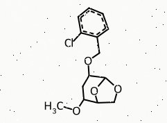 COC1CC(OCc2ccccc2Cl)C2OCC1O2